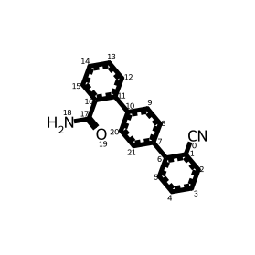 N#Cc1ccccc1-c1ccc(-c2ccccc2C(N)=O)cc1